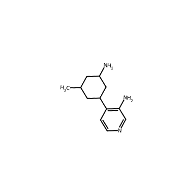 CC1CC(N)CC(c2ccncc2N)C1